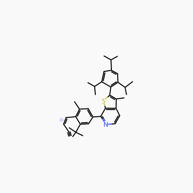 C#C/C=C\c1c(C)cc(-c2nccc3c(C)c(-c4c(C(C)C)cc(C(C)C)cc4C(C)C)sc23)cc1C(C)(C)C